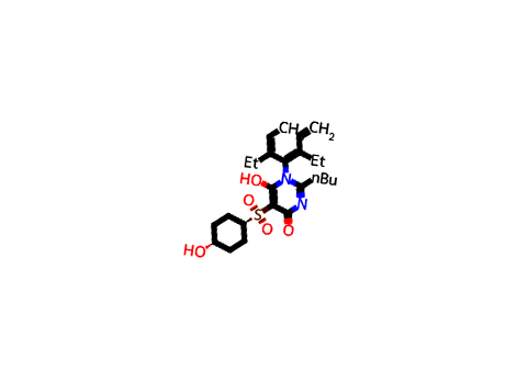 C=C/C(CC)=C(\C(=C/C)CC)n1c(CCCC)nc(=O)c(S(=O)(=O)[C@H]2CC[C@@H](O)CC2)c1O